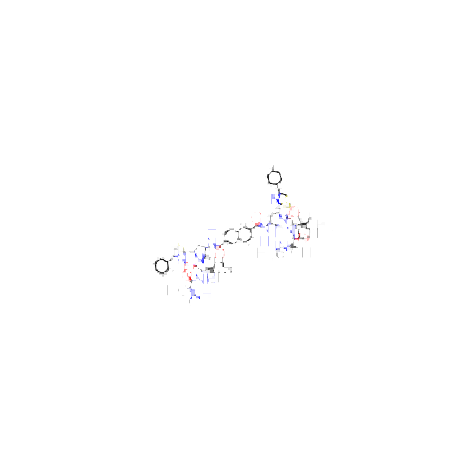 CN[C@@H](C)C(=O)N[C@H](C(=O)N1C[C@@H](NC(=O)C2=CC3C=CC(C(=O)N[C@H]4C[C@@H](c5nc(-c6ccccc6)cs5)N(C(=O)[C@@H](NC(=O)[C@H](C)NC)C(C)(C)C)C4)=CC3C=C2)C[C@H]1C1=NC(c2ccccc2)CS1)C(C)(C)C